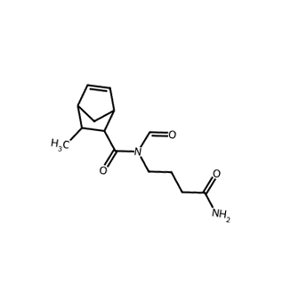 CC1C2C=CC(C2)C1C(=O)N(C=O)CCCC(N)=O